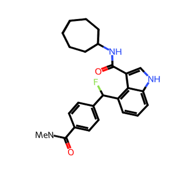 CNC(=O)c1ccc(C(F)c2cccc3[nH]cc(C(=O)NC4CCCCCC4)c23)cc1